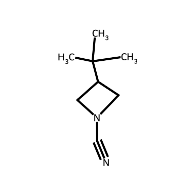 CC(C)(C)C1CN(C#N)C1